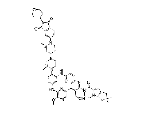 C=CC(=O)Nc1cc(Nc2nc(-c3ccnc(N4CCn5c(cc6c5CC(C)(C)C6)C4=O)c3CO)cnc2OC)ccc1N1CCN(C2CCN(c3ccc4c(c3)C(=O)N(C3CCOCC3)C4=O)[C@H](C)C2)C[C@@H]1C